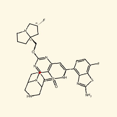 Nc1nc2c(C3=Cc4nc(OC[C@@]56CCCN5C[C@H](F)C6)nc(N5C6CNCC5COC6)c4S(=O)(=O)N3)ccc(F)c2s1